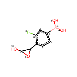 OB(O)c1ccc(C2OC2O)c(F)c1